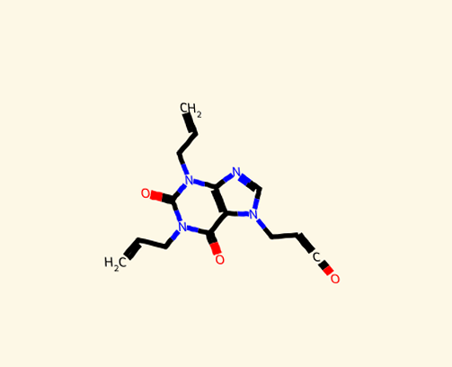 C=CCn1c(=O)c2c(ncn2CC=C=O)n(CC=C)c1=O